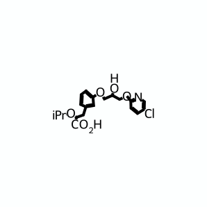 CC(C)OC(Cc1cccc(OCC(O)COc2ccc(Cl)cn2)c1)C(=O)O